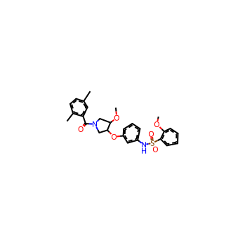 COc1ccccc1S(=O)(=O)Nc1cccc(OC2CN(C(=O)c3cc(C)ccc3C)CC2OC)c1